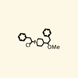 COC(Cc1ccccc1)C1CCN(C(Cl)Cc2ccccc2)CC1